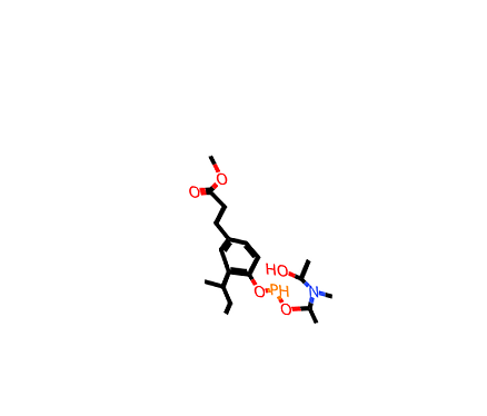 CCC(C)c1cc(CCC(=O)OC)ccc1OPOC(C)N(C)C(C)O